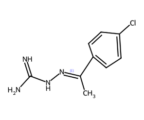 C/C(=N\NC(=N)N)c1ccc(Cl)cc1